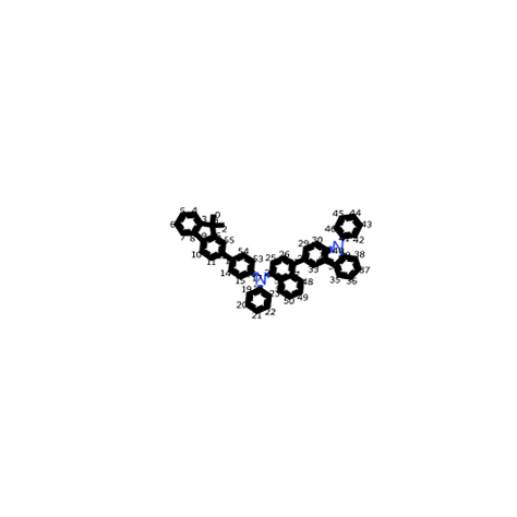 CC1(C)c2ccccc2-c2ccc(-c3ccc(N(c4ccccc4)c4ccc(-c5ccc6c(c5)c5ccccc5n6-c5ccccc5)c5ccccc45)cc3)cc21